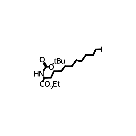 CCOC(=O)C(CCCCCCCCCCI)NC(=O)OC(C)(C)C